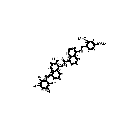 COc1ccc(CNc2ncnc3c(C(=O)Nc4c(C)ccc5c(Nc6c(F)c(F)cc(F)c6F)nccc45)cccc23)c(OC)c1